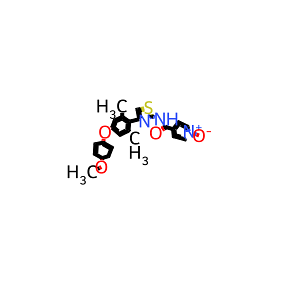 COC1C=CC(Oc2cc(C)c(-c3csc(NC(=O)c4cc[n+]([O-])cc4)n3)c(C)c2)=CC1